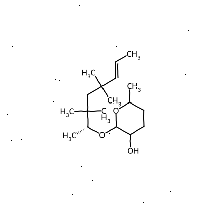 C/C=C/C(C)(C)CC(C)(C)[C@@H](C)OC1OC(C)CCC1O